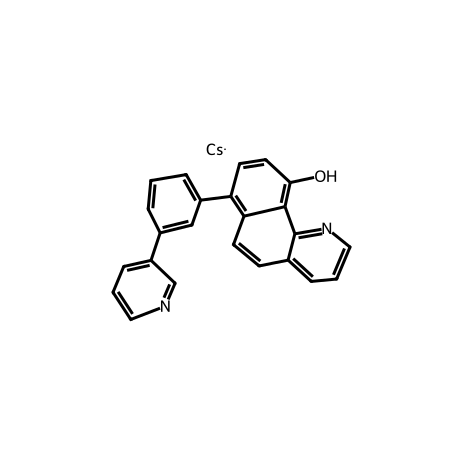 Oc1ccc(-c2cccc(-c3cccnc3)c2)c2ccc3cccnc3c12.[Cs]